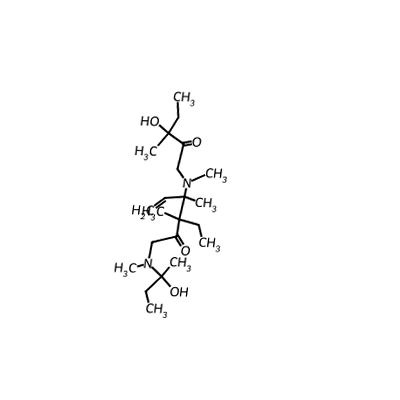 C=CC(C)(N(C)CC(=O)C(C)(O)CC)C(C)(CC)C(=O)CN(C)C(C)(O)CC